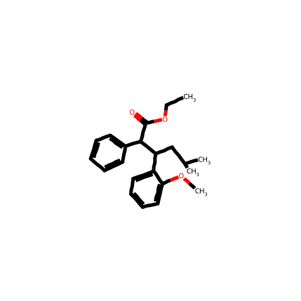 CCOC(=O)C(c1ccccc1)C(CC(C)C)c1ccccc1OC